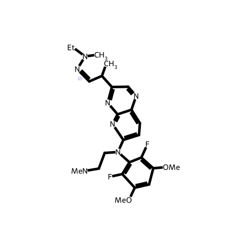 CCN(C)/N=C\C(C)c1cnc2ccc(N(CCNC)c3c(F)c(OC)cc(OC)c3F)nc2n1